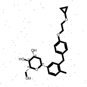 Cc1ccc([C@H]2C[C@@H](O)[C@H](O)[C@@H](CO)O2)cc1Cc1ccc(OCCOC2CC2)cc1